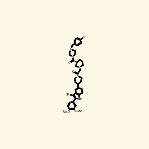 COc1ccc(-c2[nH]c3ccc(C4CCN(C(=O)CN5CCC[C@H](C(=O)N6CCN(Cc7ccc(Br)cc7)CC6)C5)CC4)cc3c2C(C)C)cc1OC